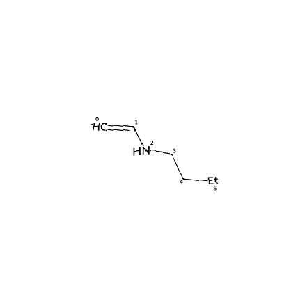 [CH]=CNCCCC